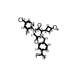 COC1CC(C2C(=O)N(c3ncc(Cl)cc3F)CC(=O)N2Cc2ccc(C(F)F)cc2)C1